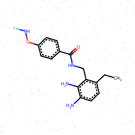 CCc1ccc(N)c(N)c1CNC(=O)c1ccc(ONF)cc1